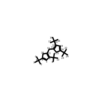 CC(C)(C)C1=CC(C(C)(C)C)=C(CC2=C(C(C)(C)C)C=C(C(C)(C)C)C2)C1